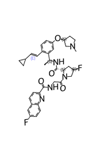 C[C@H](NC(=O)[C@@H]1C[C@@H](F)CN1C(=O)CNC(=O)c1ccc2cc(F)ccc2n1)c1cc(O[C@H]2CCN(C)C2)ccc1/C=C/C1CC1